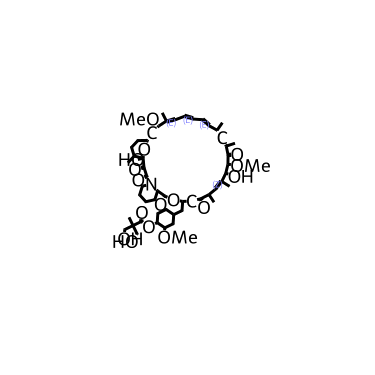 COC1CC2CCC(C)C(O)(O2)C(=O)C(=O)N2CCCCC2C(=O)OC(CC2CCC(OC(=O)C(C)(CO)CO)C(OC)C2)CC(=O)C(C)/C=C(/C)C(O)C(OC)C(=O)C(C)CC(C)/C=C/C=C/C=C/1C